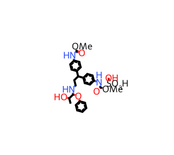 COC(=O)Nc1ccc(C(CCNC(Oc2ccccc2)C(C)O)c2ccc(NC(=O)OC)cc2)cc1.O=S(=O)(O)O